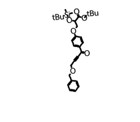 CC(C)(C)OC(=O)C(COc1ccc(C(=O)C#CCOCc2ccccc2)cc1)O[Si](C)(C)C(C)(C)C